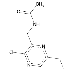 BC(=O)NCc1nc(CI)cnc1Cl